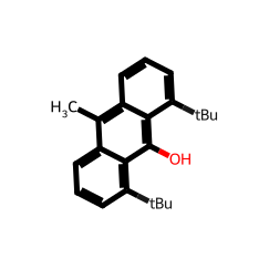 Cc1c2cccc(C(C)(C)C)c2c(O)c2c(C(C)(C)C)cccc12